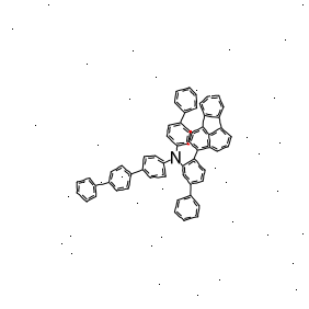 c1ccc(-c2ccc(-c3ccc(N(c4ccc(-c5ccccc5)cc4)c4cc(-c5ccccc5)ccc4-c4ccc5c6c(cccc46)-c4ccccc4-5)cc3)cc2)cc1